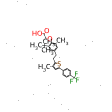 Cc1cc(-c2ccc(C(F)(F)F)cc2)sc1CCc1cc(C)c(OCC(=O)O)c(C(C)(C)C)c1